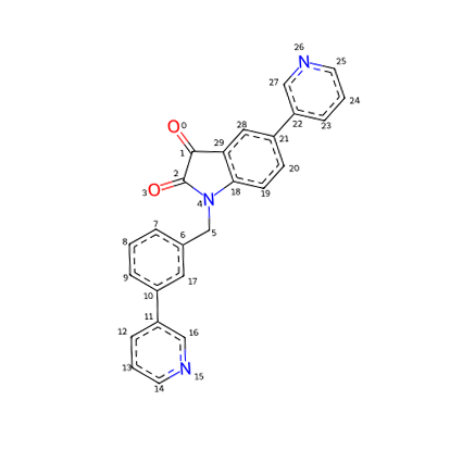 O=C1C(=O)N(Cc2cccc(-c3cccnc3)c2)c2ccc(-c3cccnc3)cc21